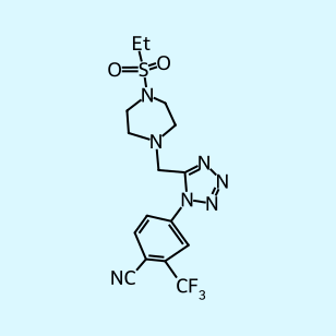 CCS(=O)(=O)N1CCN(Cc2nnnn2-c2ccc(C#N)c(C(F)(F)F)c2)CC1